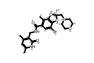 Cc1cc(C)c(CNC(=O)c2cc(Br)c3c(c2C)O[C@@](C)(CN2CCOCC2)O3)c(=O)[nH]1